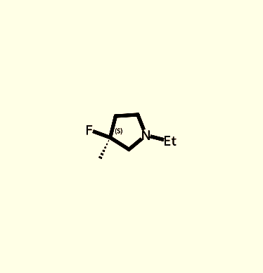 CCN1CC[C@](C)(F)C1